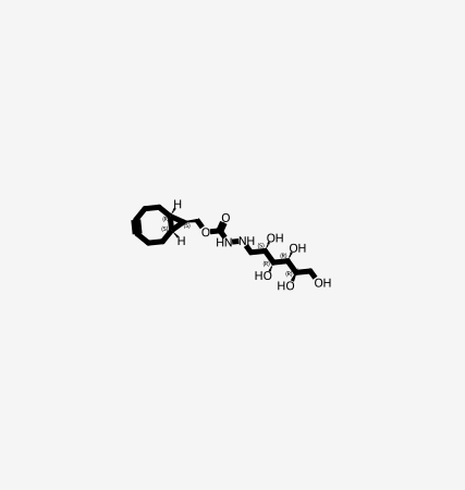 O=C(NNC[C@H](O)[C@@H](O)[C@H](O)[C@H](O)CO)OC[C@@H]1[C@@H]2CCC#CCC[C@@H]21